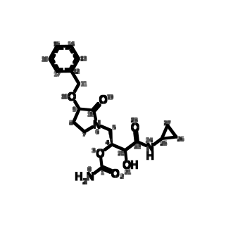 NC(=O)O[C@@H](CN1CCC(OCc2ccccc2)C1=O)C(O)C(=O)NC1CC1